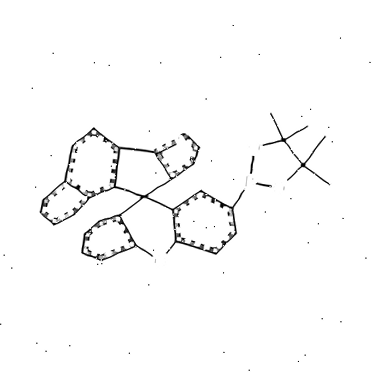 CC1(C)OB(c2ccc3c(c2)C2(c4ccccc4O3)c3ccccc3-c3ccc4ccccc4c32)OC1(C)C